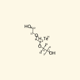 CC(C)(O)C(I)(I)OCCOCCO.[TeH2]